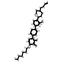 C=CCCC1CCC(c2ccc(-c3ccc(-c4ccc(OCCCCCCC)c(F)c4F)cc3)cc2F)OC1